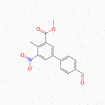 COC(=O)c1cc(-c2ccc(C=O)cc2)cc([N+](=O)[O-])c1C